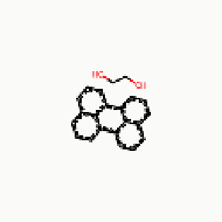 OCCO.c1cc2cccc3c4cccc5cccc(c(c1)c23)c54